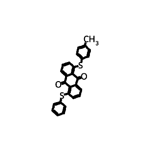 Cc1ccc(Sc2cccc3c2C(=O)c2cccc(Sc4ccccc4)c2C3=O)cc1